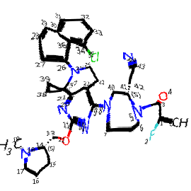 C=C(F)C(=O)N1CCN(c2nc(OC[C@@H]3CCCN3C)nc3c2CCN(c2cccc4cccc(Cl)c24)C32CC2)C[C@@H]1CC#N